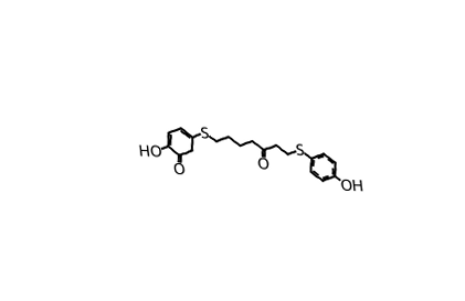 O=C(CCCCSC1=CC=C(O)C(=O)C1)CCSc1ccc(O)cc1